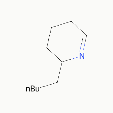 CCCCCC1CCCC=N1